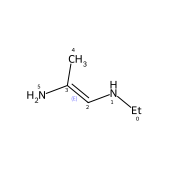 CCN/C=C(\C)N